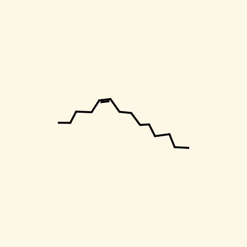 CCCC/C=C\CCCCCCCC